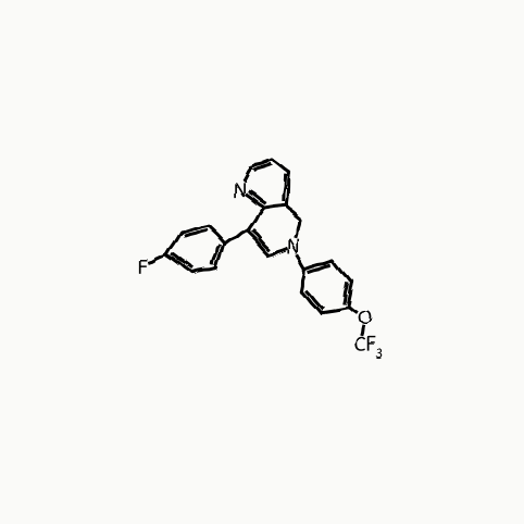 Fc1ccc(C2=CN(c3ccc(OC(F)(F)F)cc3)Cc3cccnc32)cc1